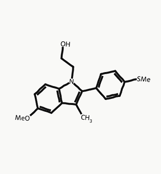 COc1ccc2c(c1)c(C)c(-c1ccc(SC)cc1)n2CCO